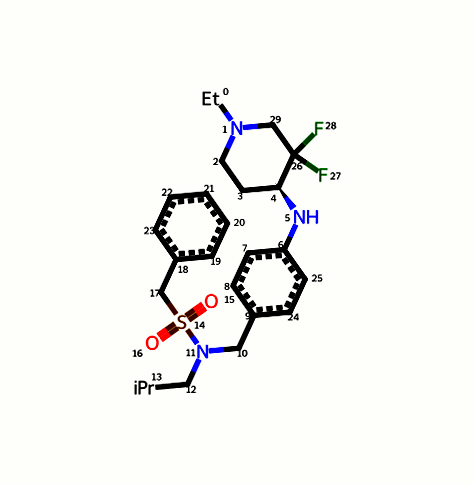 CCN1CC[C@H](Nc2ccc(CN(CC(C)C)S(=O)(=O)Cc3ccccc3)cc2)C(F)(F)C1